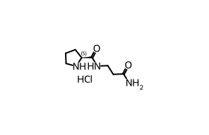 Cl.NC(=O)CCNC(=O)[C@@H]1CCCN1